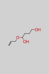 C=CCOC(O)CCCO